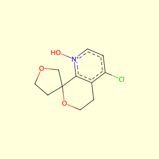 O[n+]1ccc(Cl)c2c1C1(CCOC1)OCC2